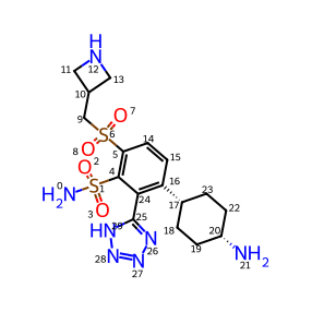 NS(=O)(=O)c1c(S(=O)(=O)CC2CNC2)ccc([C@H]2CC[C@@H](N)CC2)c1-c1nnn[nH]1